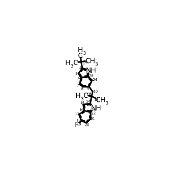 CC(C)(C)c1cc2ccc(CC(C)(C)c3cc4cc(F)ccc4[nH]3)cc2[nH]1